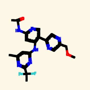 COCc1cnc(-c2cnc(NC(C)=O)cc2Nc2cc(C)nc(C(C)(F)F)n2)cn1